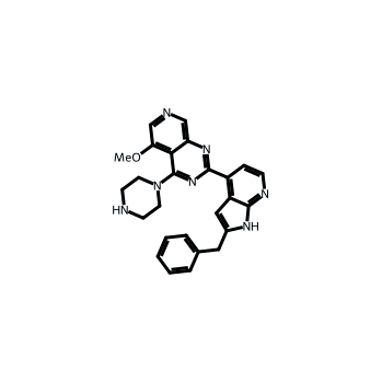 COc1cncc2nc(-c3ccnc4[nH]c(Cc5ccccc5)cc34)nc(N3CCNCC3)c12